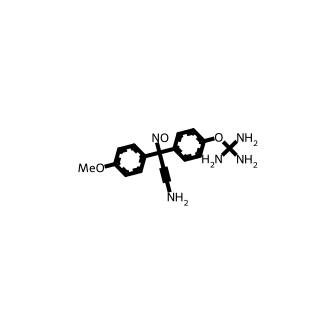 COc1ccc(C(C#CN)(N=O)c2ccc(OC(N)(N)N)cc2)cc1